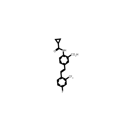 O=C(O)c1cc(C=Cc2ccc(F)cc2C(F)(F)F)ccc1NC(=O)C1CC1